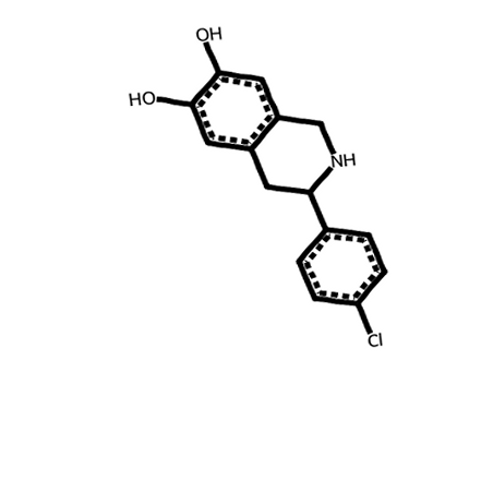 Oc1cc2c(cc1O)CC(c1ccc(Cl)cc1)NC2